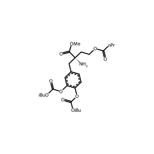 CCCC(=O)OCC[C@@](N)(Cc1ccc(OC(=O)OCC(C)C)c(OC(=O)OCC(C)C)c1)C(=O)OC